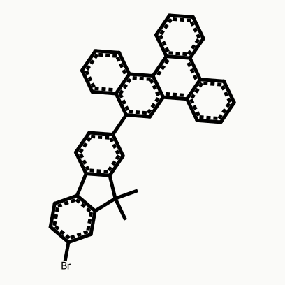 CC1(C)c2cc(Br)ccc2-c2ccc(-c3cc4c5ccccc5c5ccccc5c4c4ccccc34)cc21